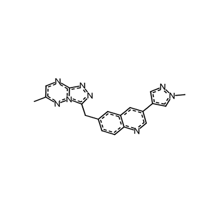 Cc1cnc2nnc(Cc3ccc4ncc(-c5cnn(C)c5)cc4c3)n2n1